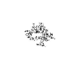 CC[C@H](C)[C@H](NC(=O)[C@H](C)N)C(=O)N[C@@H](CS)C(=O)N[C@@H](CO)C(=O)N[C@@H](CCCNC(=N)N)C(=O)N[C@@H](CO)C(=O)N[C@@H](CC(C)C)C(=O)N1CC=C[C@H]1C(=O)N1[C@H](C(=O)N[C@H](C(=O)N[C@H](C(=O)N[C@H](C(=O)N2CCC[C@H]2C(=O)N[C@@H](CC(=O)O)C(=O)O)[C@@H](C)CC)C(C)(C)S)[C@@H](C)CC)C[C@@H]2CCCC[C@@H]21